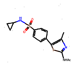 CC(=O)Nc1nc(C)c(-c2ccc(S(=O)(=O)NC3CC3)cc2)s1